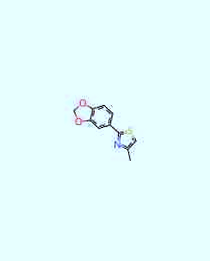 Cc1csc(-c2ccc3c(c2)OCO3)n1